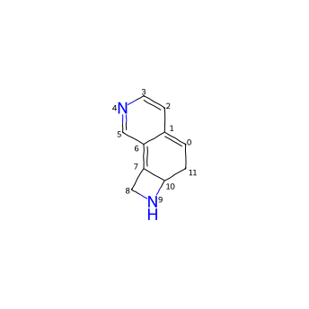 C1=c2ccncc2=C2CNC2C1